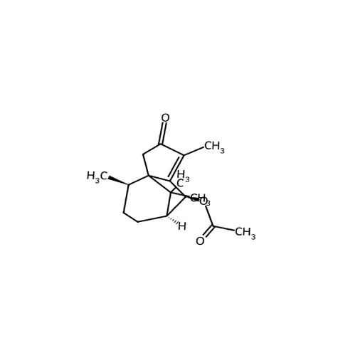 CC(=O)O[C@@H]1C2=C(C)C(=O)CC23[C@H](C)CC[C@H]1C3(C)C